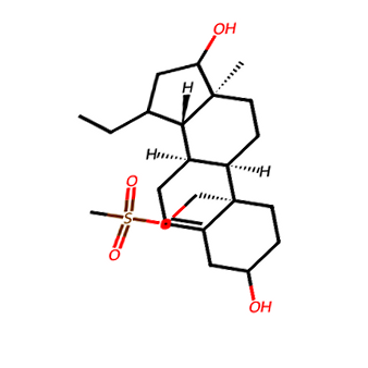 CCC1CC(O)[C@@]2(C)CC[C@@H]3[C@@H](CC=C4CC(O)CC[C@@]43COS(C)(=O)=O)[C@H]12